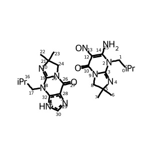 CC(C)CN1C2=NC(C)(C)CN2C(=O)C(N=O)=C1N.CC(C)CN1C2=NC(C)(C)CN2C(=O)c2nc[nH]c21